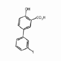 O=C(O)c1cc(-c2cccc(I)c2)ccc1O